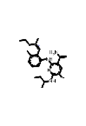 C=C(N)c1cc(F)c(NC(C)CC)nc1Nc1cccc(C)c1/C=C(/C)CCC